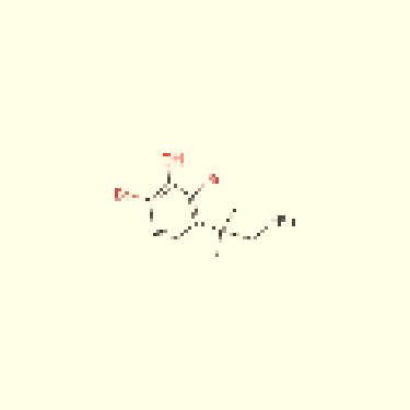 CC(C)(C)CC(C)(C)c1ccc(Br)c(O)c1Br